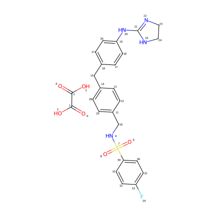 O=C(O)C(=O)O.O=S(=O)(NCc1ccc(Cc2ccc(NC3=NCCN3)cc2)cc1)c1ccc(F)cc1